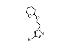 Brc1cnn(CCOC2CCCCO2)c1